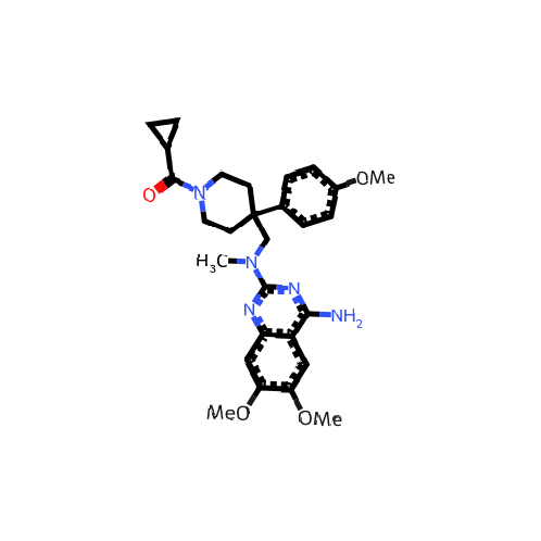 COc1ccc(C2(CN(C)c3nc(N)c4cc(OC)c(OC)cc4n3)CCN(C(=O)C3CC3)CC2)cc1